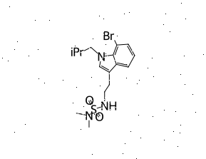 CC(C)Cn1cc(CCNS(=O)(=O)N(C)C)c2cccc(Br)c21